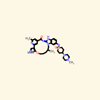 CN/C1=C(\C=N)c2cc(cc(C)n2)C(=O)/N=C2\Nc3ccc(N=S4(=O)CCC(N5CCN(C)CC5)CC4)cc3N2CC(C)CCCO1